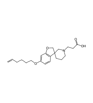 C=CCCCCOc1ccc2c(c1)OCC21CCCN(CCC(=O)O)C1